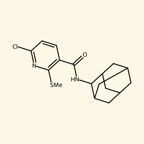 CSc1nc(Cl)ccc1C(=O)NC1C2CC3CC(C2)CC1C3